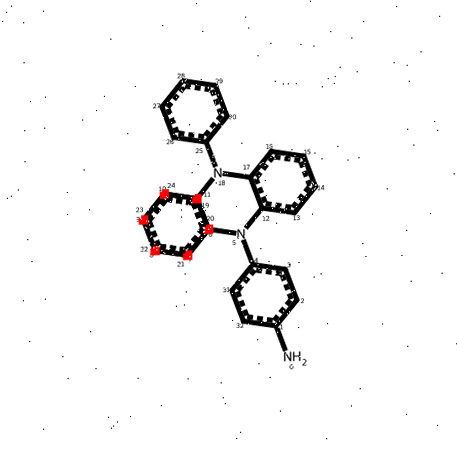 Nc1ccc(N(c2ccccc2)c2ccccc2N(c2ccccc2)c2ccccc2)cc1